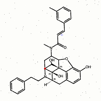 Cc1cccc(/C=C/C(=O)N(C)C2CC[C@@]3(O)[C@H]4Cc5ccc(O)c6c5[C@@]3(C(O)CN4CCc3ccccc3)C2O6)c1